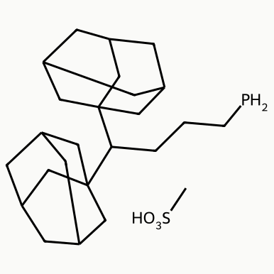 CS(=O)(=O)O.PCCCC(C12CC3CC(CC(C3)C1)C2)C12CC3CC(CC(C3)C1)C2